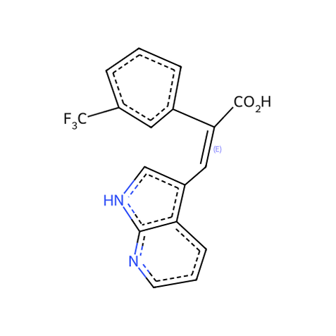 O=C(O)/C(=C/c1c[nH]c2ncccc12)c1cccc(C(F)(F)F)c1